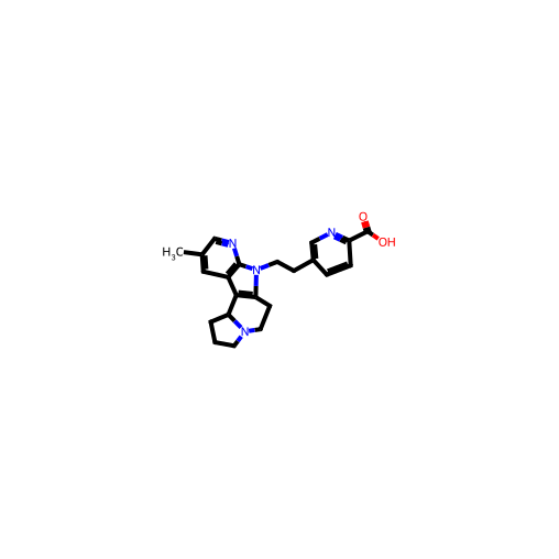 Cc1cnc2c(c1)c1c(n2CCc2ccc(C(=O)O)nc2)CCN2CCCC12